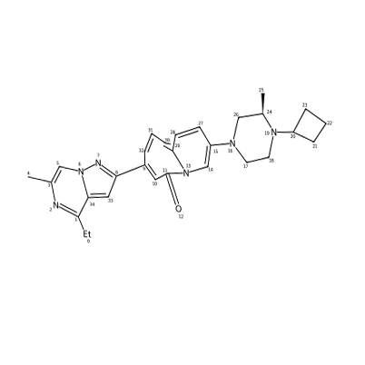 CCc1nc(C)cn2nc(C3=C\C(=O)N4C=C(N5CCN(C6CCC6)[C@H](C)C5)C=C\C4=C/C=C/3)cc12